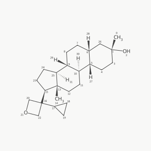 C[C@@]1(O)CC[C@H]2[C@H](CC[C@@H]3[C@@H]2CC[C@]2(C)[C@@H](C4(C5CC5)COC4)CC[C@@H]32)C1